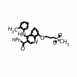 CCCC(=O)c1cnc2c(OCCCS(C)(=O)=O)cccc2c1Nc1ccccc1C